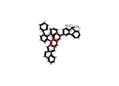 CC1(C)c2ccccc2-c2cc(-c3ccc(N(c4ccc5c(ccc6ccccc65)c4)c4cccc(-c5ccccc5)c4-c4ccccc4-c4ccccc4)cc3)ccc21